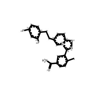 Cc1ccc(C(N)=O)cc1-c1nnc2ccc(CCc3ccc(F)cc3F)cn12